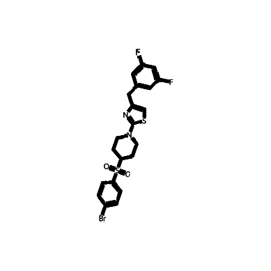 O=S(=O)(c1ccc(Br)cc1)C1CCN(c2nc(Cc3cc(F)cc(F)c3)cs2)CC1